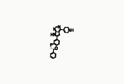 C[C@H](Oc1ccc(-c2cc3c(C4=CCNCC4)ncnc3[nH]2)cc1F)c1ccccc1